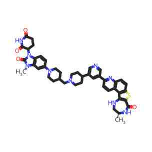 C[C@@H]1CNc2c(sc3ccc4nc(-c5cncc(C6CCN(CC7CCN(c8ccc9c(c8)n(C)c(=O)n9C8CCC(=O)NC8=O)CC7)CC6)c5)ccc4c23)C(=O)N1